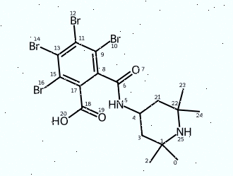 CC1(C)CC(NC(=O)c2c(Br)c(Br)c(Br)c(Br)c2C(=O)O)CC(C)(C)N1